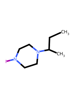 CCC(C)N1CCN(I)CC1